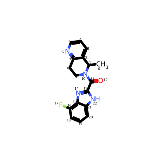 CC1c2cccnc2CCN1C(=O)c1nc2c(F)cccc2[nH]1